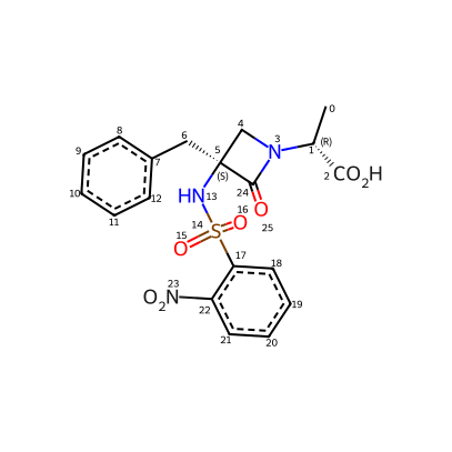 C[C@H](C(=O)O)N1C[C@](Cc2ccccc2)(NS(=O)(=O)c2ccccc2[N+](=O)[O-])C1=O